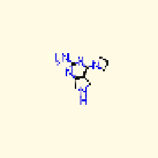 Nc1nc2c(c(N3CCC3)n1)CNC2